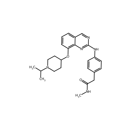 CNC(=O)Cc1ccc(Nc2ncc3cccc(OC4CCN(C(C)C)CC4)c3n2)cc1